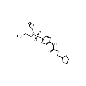 CCCN(CCC)S(=O)(=O)c1ccc(NC(=O)CCC2CCCC2)cc1